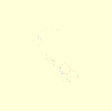 O=C(O)CN1CC[C@@H](C(F)CCCCc2ccc3c(n2)NCCC3)C1